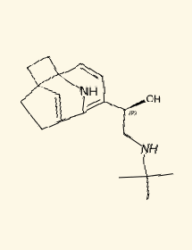 CC(C)(C)NC[C@H](O)C1=C2NC3(C=C1)CCC31C=C2CC1